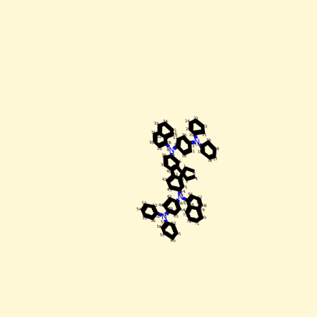 CCC1(CC)c2cc(N(c3ccc(N(c4ccccc4)c4ccccc4)cc3)c3cccc4ccccc34)ccc2-c2ccc(N(c3ccc(N(c4ccccc4)c4ccccc4)cc3)c3cccc4ccccc34)cc21